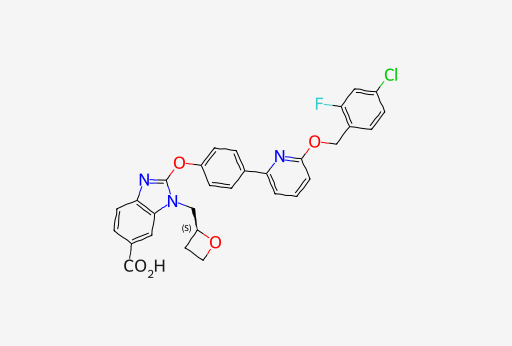 O=C(O)c1ccc2nc(Oc3ccc(-c4cccc(OCc5ccc(Cl)cc5F)n4)cc3)n(C[C@@H]3CCO3)c2c1